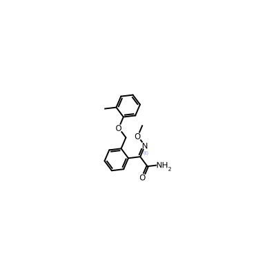 CO/N=C(/C(N)=O)c1ccccc1COc1ccccc1C